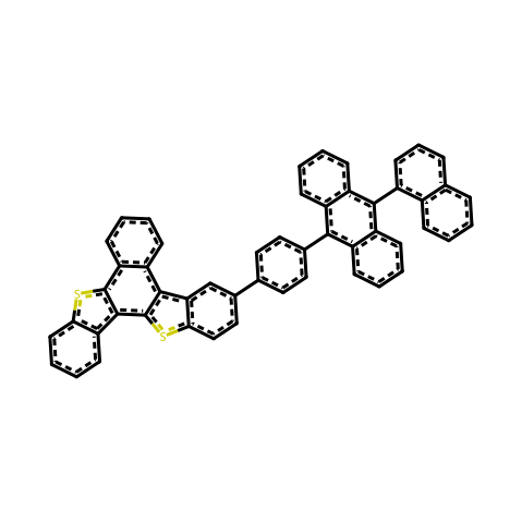 c1ccc2c(-c3c4ccccc4c(-c4ccc(-c5ccc6sc7c(c6c5)c5ccccc5c5sc6ccccc6c57)cc4)c4ccccc34)cccc2c1